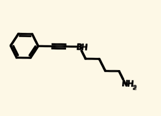 NCCCCBC#Cc1ccccc1